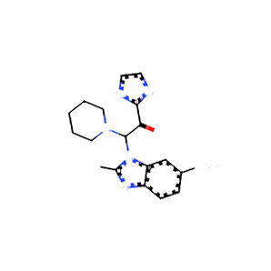 COc1ccc2nc(C)n(C(C(=O)c3ncc[nH]3)N3CCCCC3)c2c1